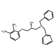 Nc1cccc(OC[C@@H](O)CN(Cc2ccccc2)Cc2ccccc2)c1N